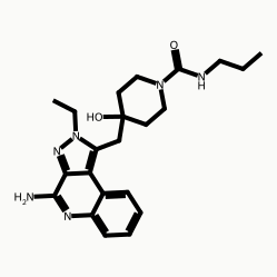 CCCNC(=O)N1CCC(O)(Cc2c3c(nn2CC)c(N)nc2ccccc23)CC1